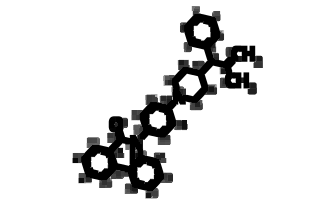 C=C(C)C(c1ccccc1)C1CCN(c2ccc(NC(=O)c3ccccc3-c3ccccc3)cc2)CC1